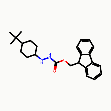 CC(C)(C)C1CCC(NNC(=O)OCC2c3ccccc3-c3ccccc32)CC1